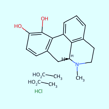 CC(=O)O.CC(=O)O.CN1CCc2cccc3c2[C@H]1Cc1ccc(O)c(O)c1-3.Cl